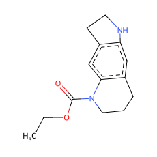 CCOC(=O)N1CCCc2cc3c(cc21)CCN3